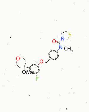 COC1(c2cc(F)cc(OCc3ccc(N(C)C(=O)N4CCSC4)cc3)c2)CCOCC1